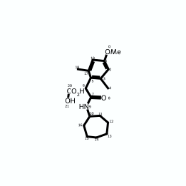 COc1cc(C)c(CC(=O)NC2CCCCCC2)c(C)c1.O=C(O)O